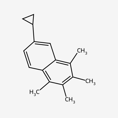 Cc1c(C)c(C)c2cc(C3CC3)ccc2c1C